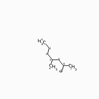 CCCC(C)CC(C)F